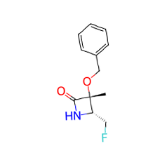 C[C@]1(OCc2ccccc2)C(=O)N[C@H]1CF